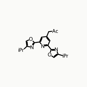 CC(=O)Cc1cc(-c2nc(C(C)C)co2)nc(-c2nc(C(C)C)co2)c1